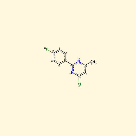 Cc1cc(Cl)nc(-c2ccc(F)cc2)n1